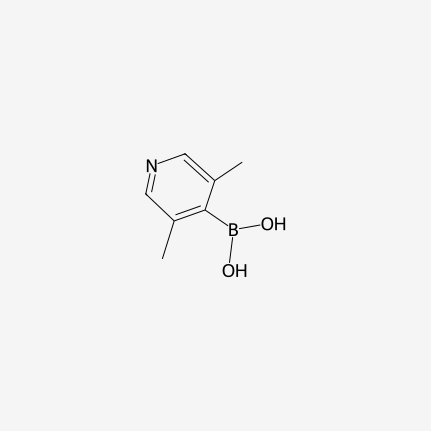 Cc1cncc(C)c1B(O)O